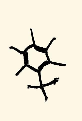 Cc1c(C)c(C)c(S(F)(F)F)c(C)c1C